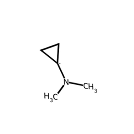 CN(C)[C]1CC1